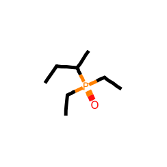 CCC(C)P(=O)(CC)CC